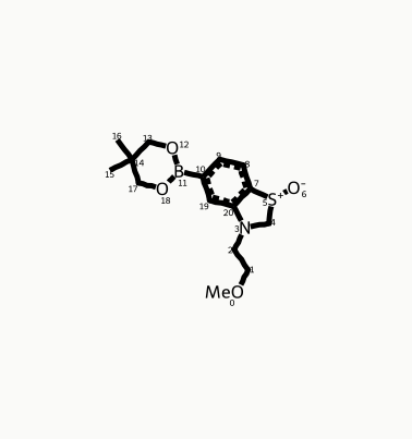 COCCN1C[S+]([O-])c2ccc(B3OCC(C)(C)CO3)cc21